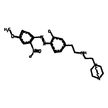 COc1ccc(N=Nc2ccc(CCNCC[N+]34CCN(CC3)CC4)cc2Cl)c([N+](=O)[O-])c1